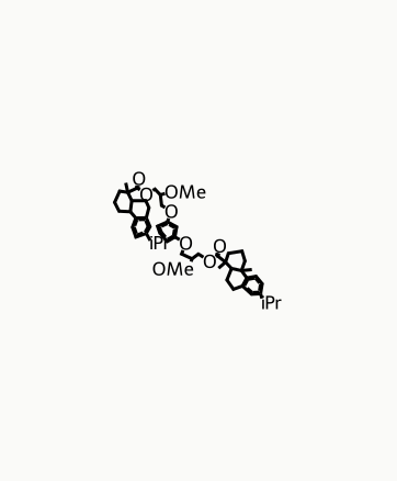 COC(COC(=O)C1(C)CCCC2c3ccc(C(C)C)cc3CCC21)COc1cccc(OCC(COC(=O)C2(C)CCCC3(C)c4ccc(C(C)C)cc4CCC23)OC)c1